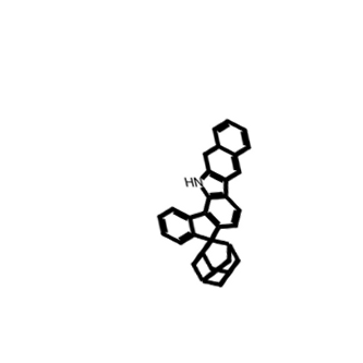 C1=CC2=Cc3c([nH]c4c5c(ccc34)C3(c4ccccc4-5)C4CC5CC(C4)CC3C5)CC2C=C1